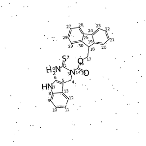 NC(=S)N(Cc1c[nH]c2ccccc12)C(=O)OCC1c2ccccc2-c2ccccc21